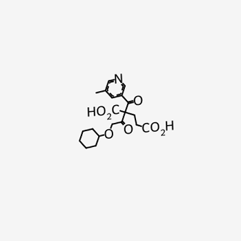 Cc1cncc(C(=O)C(CCC(=O)O)(C(=O)O)C(=O)COC2CCCCC2)c1